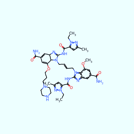 CCn1nc(C)cc1C(=O)NC1=NC2C=C(C(N)=O)C=C(OCCCN3CCNCC3)C2N1C/C=C/Cn1c(NC(=O)c2cc(C)nn2CC)nc2cc(C(N)=O)cc(OC)c21